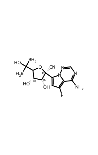 BC(B)(O)C1O[C@@](C#N)(c2cc(F)c3c(N)ncnn23)[C@H](O)[C@@H]1O